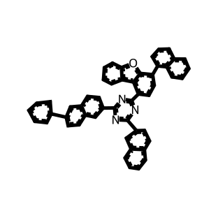 c1ccc(-c2ccc3cc(-c4nc(-c5ccc6ccccc6c5)nc(-c5ccc(-c6cccc7ccccc67)c6oc7ccccc7c56)n4)ccc3c2)cc1